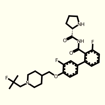 CC(C)(F)CN1CCC(COc2ccc(-c3cccc(F)c3C(=O)NC(=O)[C@@H]3CCCN3)cc2F)CC1